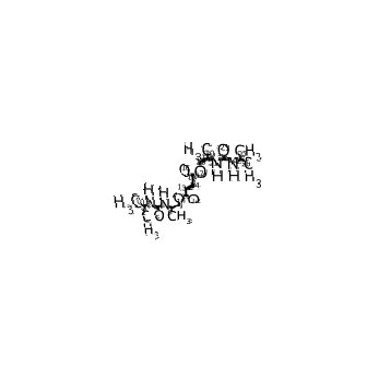 CC(C)NC(=O)N[C@@H](C)COC(=O)/C=C/C(=O)OC[C@H](C)NC(=O)NC(C)C